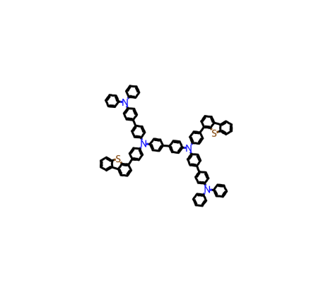 c1ccc(N(c2ccccc2)c2ccc(-c3ccc(N(c4ccc(-c5ccc(N(c6ccc(-c7ccc(N(c8ccccc8)c8ccccc8)cc7)cc6)c6ccc(-c7cccc8c7sc7ccccc78)cc6)cc5)cc4)c4ccc(-c5cccc6c5sc5ccccc56)cc4)cc3)cc2)cc1